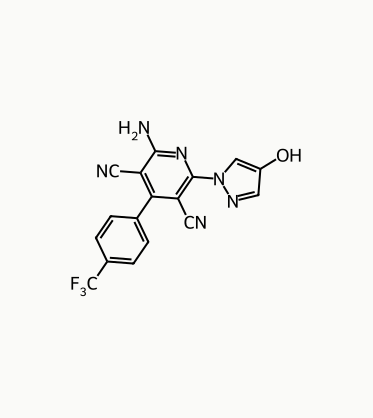 N#Cc1c(N)nc(-n2cc(O)cn2)c(C#N)c1-c1ccc(C(F)(F)F)cc1